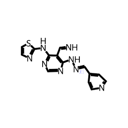 N=Cc1c(N/N=C/c2ccncc2)ncnc1Nc1nccs1